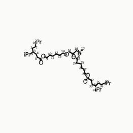 CC(C)CCC(CCC(=O)OCCCCCCOCC(CN(C)C)OCCCCCCOC(=O)CCC(CCC(C)C)C(C)C)C(C)C